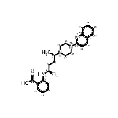 CC(CCC(=O)Nc1ccccc1C(=O)O)N1CCN(c2ccc3ccccc3n2)CC1